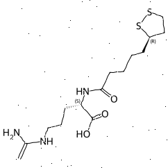 C=C(N)NCCC[C@H](NC(=O)CCCC[C@@H]1CCSS1)C(=O)O